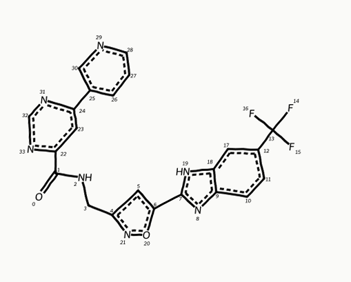 O=C(NCc1cc(-c2nc3ccc(C(F)(F)F)cc3[nH]2)on1)c1cc(-c2cccnc2)ncn1